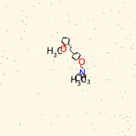 CCN(CC)CCOc1ccc(CCc2ccccc2OC)cc1